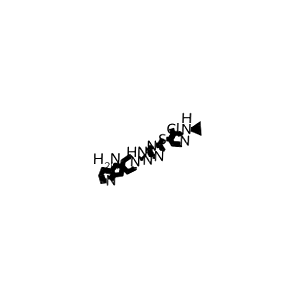 N[C@@H]1c2cccnc2CC12CCN(c1nc3ncc(Sc4ccnc(NC5CC5)c4Cl)nc3[nH]1)CC2